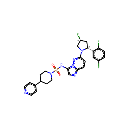 O=S(=O)(Nc1cnc2ccc(N3C[C@@H](F)C[C@@H]3c3cc(F)ccc3F)nn12)N1CCC(c2ccncc2)CC1